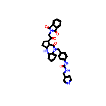 O=C(NCc1ccncc1)Nc1ccc(CN2C(=O)C3C(CCC3C(=O)CN3C(=O)c4ccccc4C3=O)Nc3ccccc32)cc1